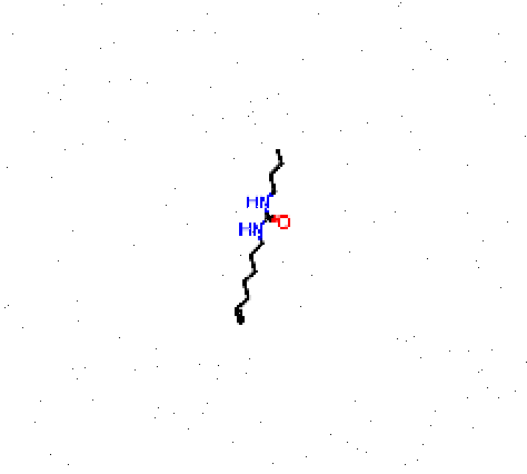 C=CCCCCCNC(=O)NCCCC